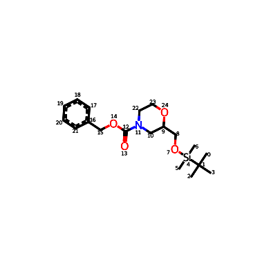 CC(C)(C)[Si](C)(C)OCC1CN(C(=O)OCc2ccccc2)CCO1